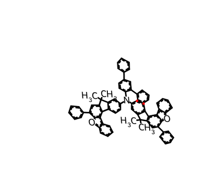 CC1(C)c2cc(N(c3ccc4c(c3)C(C)(C)c3cc(-c5ccccc5)c5oc6ccccc6c5c3-4)c3ccc(-c4ccccc4)cc3-c3ccccc3)ccc2-c2c1cc(-c1ccccc1)c1oc3ccccc3c21